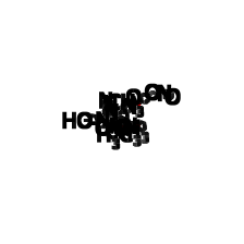 Cc1c(C(=O)N(c2ccc(O)cc2)c2cnc3c(cnn3C)c2)cc(-c2cc3c(cc2C(=O)N2Cc4ccccc4C[C@H]2C)CN(C(=O)Cc2ccc(OCCN4CCOCC4)cc2)CC3)n1C